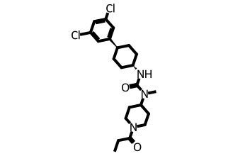 CCC(=O)N1CCC(N(C)C(=O)N[C@H]2CC[C@H](c3cc(Cl)cc(Cl)c3)CC2)CC1